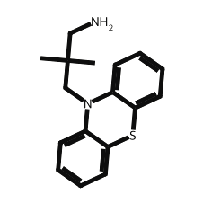 CC(C)(CN)CN1c2ccccc2Sc2ccccc21